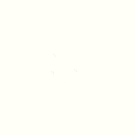 O=CC(C1CNCCN1)N1C[CH]CC1